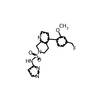 COc1cc(CF)ccc1-c1ccnc2c1CCN(S(=O)(=O)Nc1ccncn1)C2